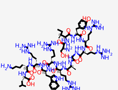 CC[C@H](C)[C@H](NC(=O)[C@@H](N)CO)C(=O)N[C@@H](Cc1ccc(O)cc1)C(=O)N[C@@H](CCCNC(=N)N)C(=O)N[C@@H](CCCNC(=N)N)C(=O)NCC(=O)N[C@@H](C)C(=O)N[C@@H](CCCNC(=N)N)C(=O)N[C@@H](CCCNC(=N)N)C(=O)N[C@@H](Cc1c[nH]c2ccccc12)C(=O)N[C@@H](CCCNC(=N)N)C(=O)N[C@@H](CCCCN)C(=O)N[C@@H](CC(C)C)C(=O)O